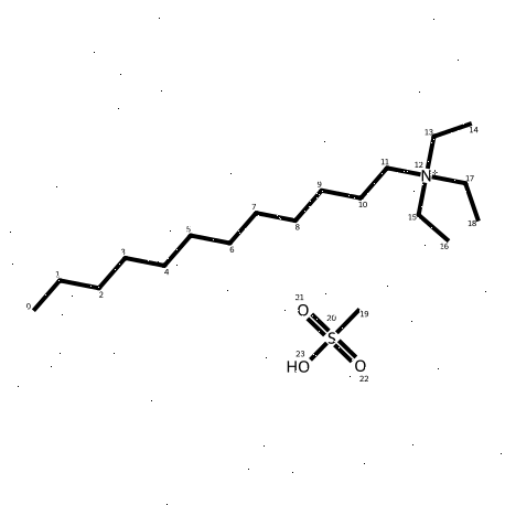 CCCCCCCCCCCC[N+](CC)(CC)CC.CS(=O)(=O)O